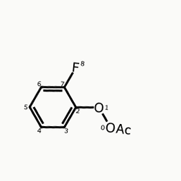 CC(=O)OOc1ccccc1F